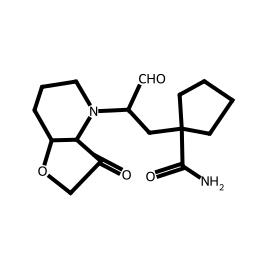 NC(=O)C1(C[C](C=O)N2CCCC3OCC(=O)C32)CCCC1